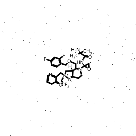 CC(C)(N)C(=O)N[C@@]1(N2CCC3=N[N+](CC4=NC=CCC4=O)(CC(F)(F)F)C[C@@H]3C2COCc2ccc(F)cc2F)CO1